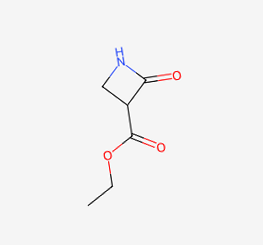 CCOC(=O)C1CNC1=O